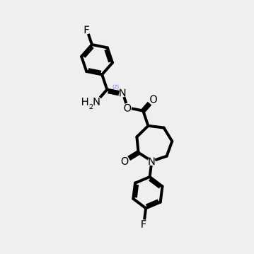 N/C(=N\OC(=O)C1CCCN(c2ccc(F)cc2)C(=O)C1)c1ccc(F)cc1